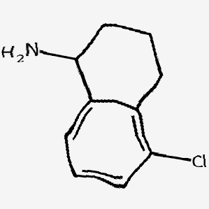 NC1CCCc2c(Cl)cccc21